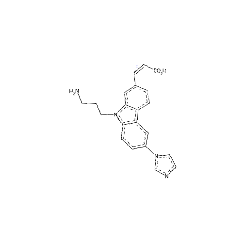 NCCCn1c2ccc(-n3ccnc3)cc2c2ccc(/C=C\C(=O)O)cc21